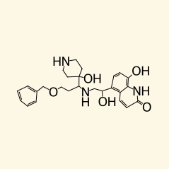 O=c1ccc2c(C(O)CNC(CCOCc3ccccc3)C3(O)CCNCC3)ccc(O)c2[nH]1